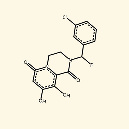 O=C1c2c(O)c(O)cc(=O)n2CCN1C(F)c1cccc(Cl)c1